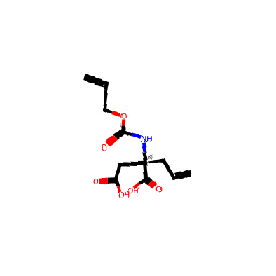 C=CCOC(=O)N[C@@](CC=C)(CC(=O)O)C(=O)O